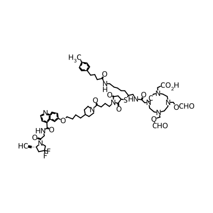 C#C[C@H]1CC(F)(F)CN1C(=O)CNC(=O)c1ccnc2ccc(OCCCCC3CCN(C(=O)CCCN4C(=O)CC(SC(CCCCCNC(=O)CCCc5ccc(C)cc5)CNC(=O)CN5CCN(COC=O)CCN(COC=O)CCN(CC(=O)O)CC5)C4=O)CC3)cc12